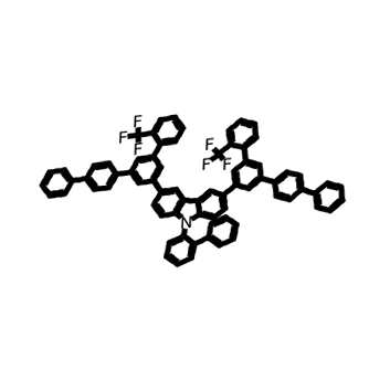 FC(F)(F)c1ccccc1-c1cc(-c2ccc(-c3ccccc3)cc2)cc(-c2ccc3c(c2)c2cc(-c4cc(-c5ccc(-c6ccccc6)cc5)cc(-c5ccccc5C(F)(F)F)c4)ccc2n3-c2ccccc2-c2ccccc2)c1